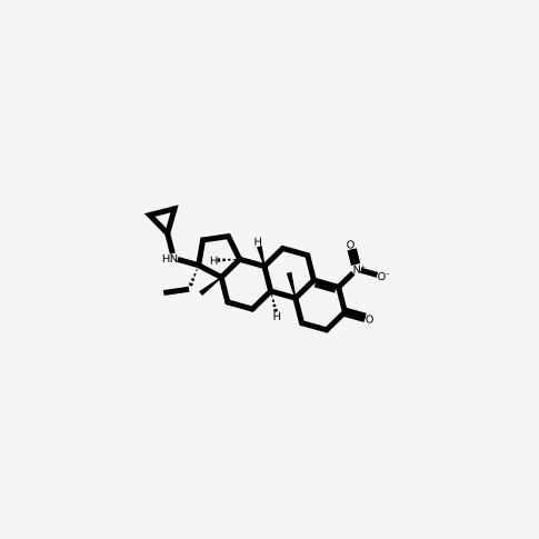 CC[C@]1(NC2CC2)CC[C@H]2[C@@H]3CCC4=C([N+](=O)[O-])C(=O)CC[C@]4(C)[C@H]3CC[C@@]21C